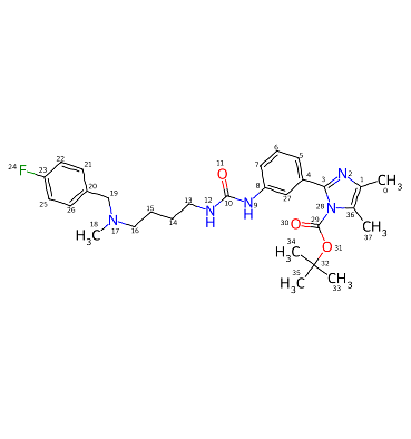 Cc1nc(-c2cccc(NC(=O)NCCCCN(C)Cc3ccc(F)cc3)c2)n(C(=O)OC(C)(C)C)c1C